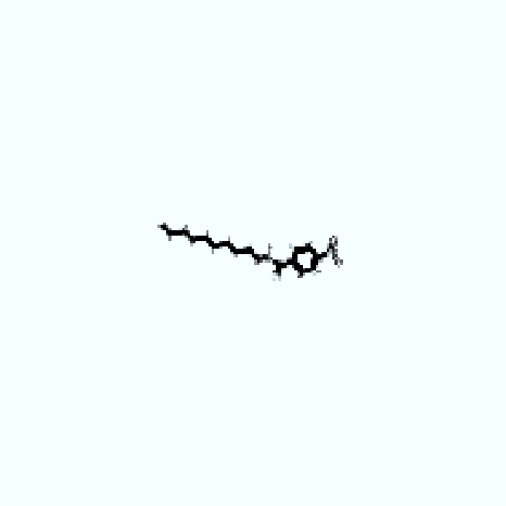 CCCCCCCCCCNC(=O)c1ccc([N+](=O)[O-])cc1